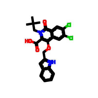 CC(C)(C)Cn1c(C(=O)O)c(OCc2cc3ccccc3[nH]2)c2cc(Cl)c(Cl)cc2c1=O